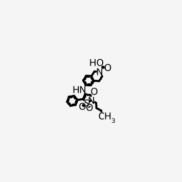 CCCCN1C(=O)C(Nc2ccc3c(c2)CCN(C(=O)O)C3)=C(c2ccccc2)S1(=O)=O